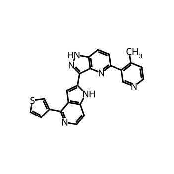 Cc1ccncc1-c1ccc2[nH]nc(-c3cc4c(-c5ccsc5)nccc4[nH]3)c2n1